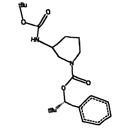 CC(C)(C)OC(=O)NC1CCCN(C(=O)O[C@H](c2ccccc2)C(C)(C)C)C1